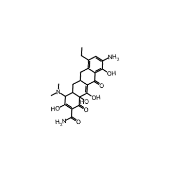 CCc1cc(N)c(O)c2c1CC1CC3C(N(C)C)C(O)=C(C(N)=O)C(=O)C3(O)C(O)=C1C2=O